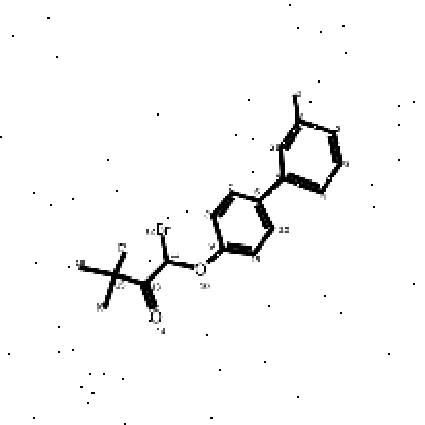 Cc1cccc(-c2ccc(OC(Br)C(=O)C(C)(C)C)cc2)c1